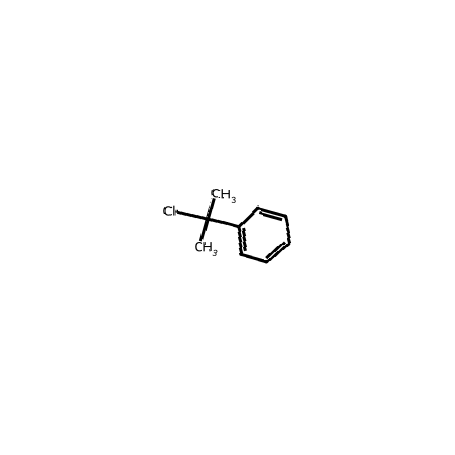 CC(C)(Cl)c1[c]cccc1